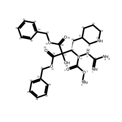 CC(C)(C)OC(=O)N(NC(=N)N)[C@@H](CC1CCCNC1)C(O)(C(=O)OCc1ccccc1)C(=O)OCc1ccccc1